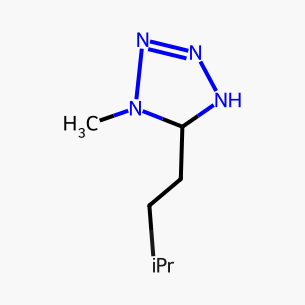 CC(C)CCC1NN=NN1C